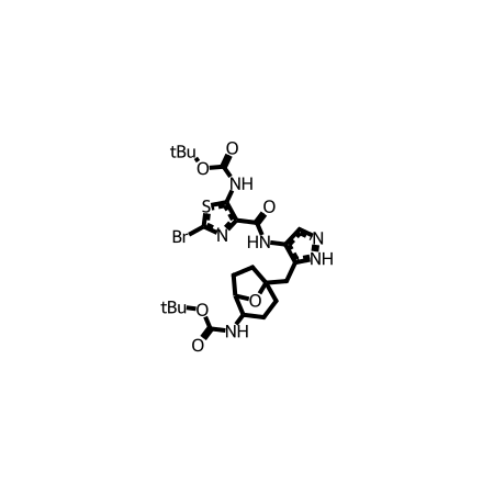 CC(C)(C)OC(=O)Nc1sc(Br)nc1C(=O)Nc1cn[nH]c1CC12CCC(NC(=O)OC(C)(C)C)C(CC1)O2